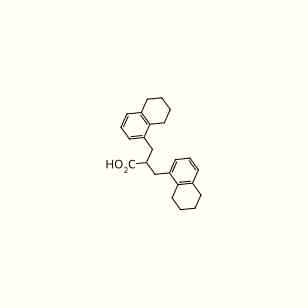 O=C(O)C(Cc1cccc2c1CCCC2)Cc1cccc2c1CCCC2